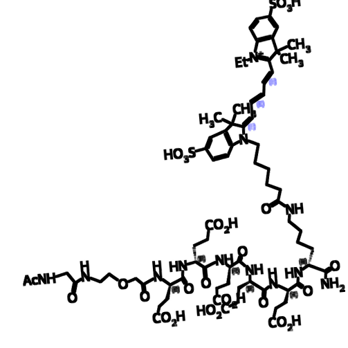 CC[N+]1=C(/C=C/C=C/C=C2/N(CCCCCC(=O)NCCCC[C@@H](NC(=O)[C@@H](CCC(=O)O)NC(=O)[C@@H](CCC(=O)O)NC(=O)[C@@H](CCC(=O)O)NC(=O)[C@@H](CCC(=O)O)NC(=O)[C@@H](CCC(=O)O)NC(=O)COCCNC(=O)CNC(C)=O)C(N)=O)c3ccc(S(=O)(=O)O)cc3C2(C)C)C(C)(C)c2cc(S(=O)(=O)O)ccc21